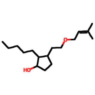 CCCCCC1C(O)CCC1CCOCC=C(C)C